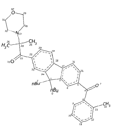 CCCCC1(CCCC)c2cc(C(=O)c3ccccc3C)ccc2-c2ccc(C(=O)C(C)(C)N3CCOCC3)cc21